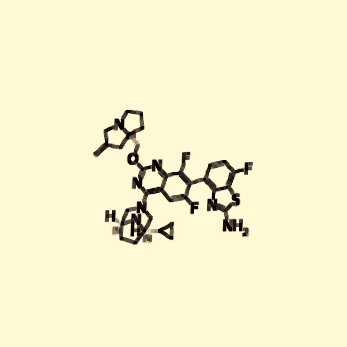 C=C1CN2CCC[C@@]2(COc2nc(N3C[C@@H]4CC[C@](C5CC5)(C3)N4)c3cc(F)c(-c4ccc(F)c5sc(N)nc45)c(F)c3n2)C1